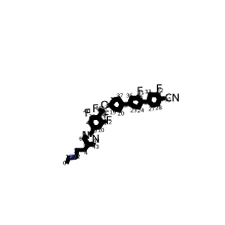 C/C=C/CCc1cnc(-c2cc(F)c(C(F)(F)Oc3ccc(-c4ccc(-c5ccc(C#N)c(F)c5)c(F)c4)cc3)c(F)c2)nc1